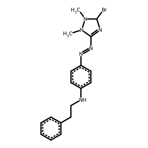 CN1C(N=Nc2ccc(NCCc3ccccc3)cc2)=NC(Br)N1C